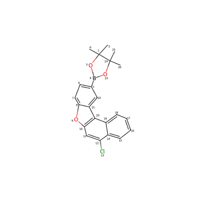 CC1(C)OB(c2ccc3oc4cc(Cl)c5ccccc5c4c3c2)OC1(C)C